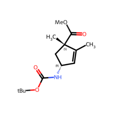 COC(=O)[C@@]1(C)C[C@@H](NC(=O)OC(C)(C)C)C=C1C